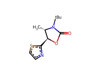 C[C@H]1[C@H](c2nccs2)OC(=O)N1C(C)(C)C